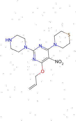 C=CCOc1nc(N2CCNCC2)nc(N2CCSCC2)c1[N+](=O)[O-]